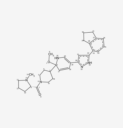 COC1(C2CCN(C(=O)[C@@H]3CCCN3C)CC2)C=CC(c2cc(-c3cccc4c3CCC4)[nH]n2)=CN1